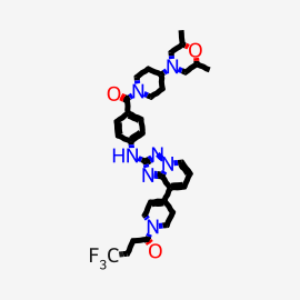 CC1CN(C2CCN(C(=O)c3ccc(Nc4nc5c(C6=CCN(C(=O)CCC(F)(F)F)CC6)cccn5n4)cc3)CC2)CC(C)O1